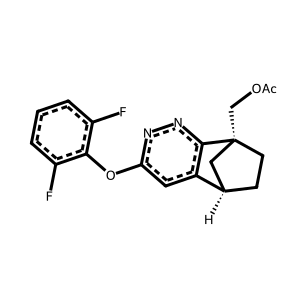 CC(=O)OC[C@]12CC[C@H](C1)c1cc(Oc3c(F)cccc3F)nnc12